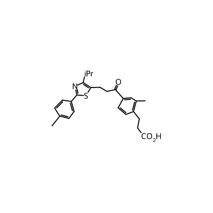 Cc1ccc(-c2nc(C(C)C)c(CCC(=O)c3ccc(CCC(=O)O)c(C)c3)s2)cc1